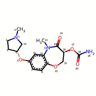 CN1CC[C@@H](Oc2ccc3c(c2)N(C)C(=O)[C@@H](OC(N)=O)CO3)C1